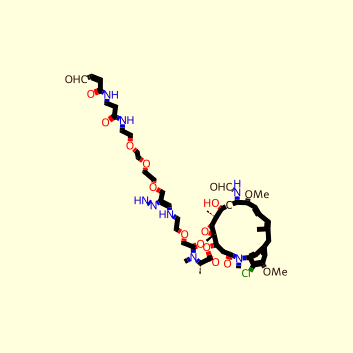 COc1cc2cc(c1Cl)N(C)C(=O)CC(OC(=O)[C@H](C)N(C)C(=O)COCCN/C=C(/COCCOCCOCCNC(=O)CCNC(=O)/C=C\C=O)N=N)[C@]1(C)OC1[C@H](C)C(O)CC(NC=O)C(OC)/C=C/C=C(\C)C2